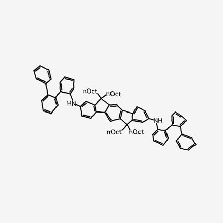 CCCCCCCCC1(CCCCCCCC)c2cc(Nc3ccccc3-c3ccccc3-c3ccccc3)ccc2-c2cc3c(cc21)-c1ccc(Nc2ccccc2-c2ccccc2-c2ccccc2)cc1C3(CCCCCCCC)CCCCCCCC